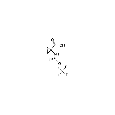 O=C(NC1(C(=O)O)CC1)OCC(F)(F)F